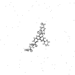 CC(=O)c1ccc(NC(=O)C(Cc2ccc(C(=O)NCCC(=O)O)cc2)c2ccc(C3CCCCC3)cc2)cc1